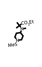 CCOC(=O)C(C)(C)N(C)C1CCN(SC)CC1